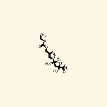 CCNC(=O)OCc1cn(C(C)(C)CC(C)(C)C(C)=O)nn1